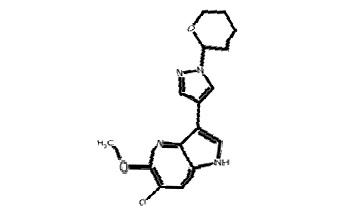 COc1nc2c(-c3cnn(C4CCCCO4)c3)c[nH]c2cc1Cl